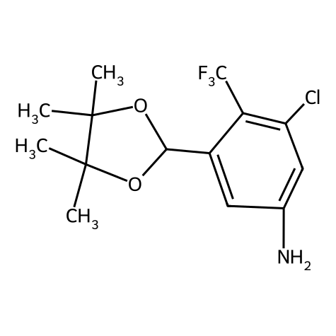 CC1(C)OC(c2cc(N)cc(Cl)c2C(F)(F)F)OC1(C)C